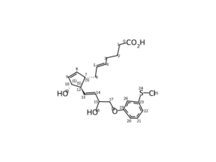 O=C(O)CCCC=CC[C@H]1C=C[C@@H](O)[C@@H]1C=CC(O)COc1cccc(SCl)c1